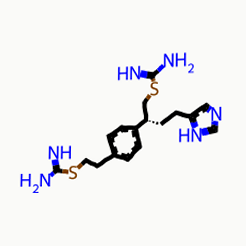 N=C(N)SCCc1ccc([C@@H](CCc2cnc[nH]2)CSC(=N)N)cc1